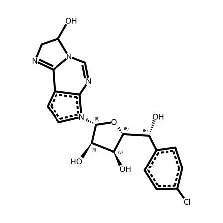 OC1CN=C2c3ccn([C@@H]4O[C@H]([C@H](O)c5ccc(Cl)cc5)[C@@H](O)[C@H]4O)c3N=CN21